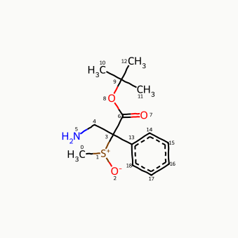 C[S+]([O-])C(CN)(C(=O)OC(C)(C)C)c1ccccc1